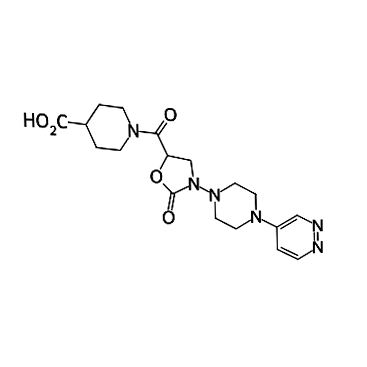 O=C(O)C1CCN(C(=O)C2CN(N3CCN(c4ccnnc4)CC3)C(=O)O2)CC1